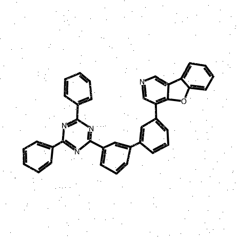 c1ccc(-c2nc(-c3ccccc3)nc(-c3cccc(-c4cccc(-c5cncc6c5oc5ccccc56)c4)c3)n2)cc1